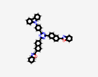 c1ccc2oc(-c3ccc4cc(-c5nc(-c6ccc(-n7c8ccccc8c8ccccc87)cc6)nc(-c6ccc7cc(-c8nc9ccccc9o8)ccc7c6)n5)ccc4c3)nc2c1